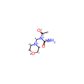 [CH2]C(=O)N(CN1CCOCC1)C(N)=O